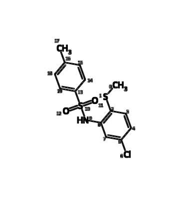 CSc1ccc(Cl)cc1NS(=O)(=O)c1ccc(C)cc1